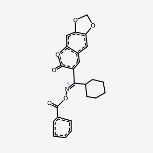 O=C(O/N=C(/c1cc2cc3c(cc2oc1=O)OCO3)C1CCCCC1)c1ccccc1